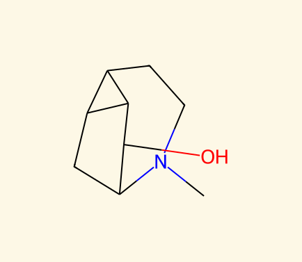 CN1CCC2C3CC1C(O)C23